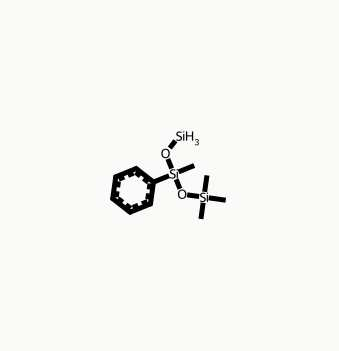 C[Si](C)(C)O[Si](C)(O[SiH3])c1ccccc1